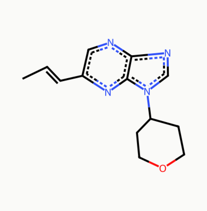 CC=Cc1cnc2ncn(C3CCOCC3)c2n1